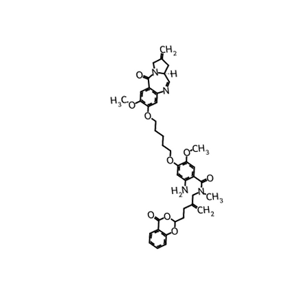 C=C(CCC1OC(=O)c2ccccc2O1)CN(C)C(=O)c1cc(OC)c(OCCCCCOc2cc3c(cc2OC)C(=O)N2CC(=C)C[C@H]2C=N3)cc1N